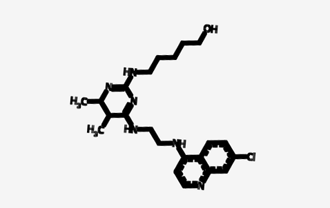 CC1N=C(NCCCCCO)N=C(NCCNc2ccnc3cc(Cl)ccc23)C1C